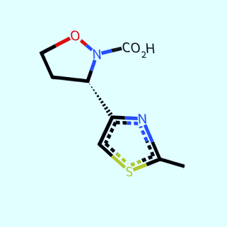 Cc1nc([C@@H]2CCON2C(=O)O)cs1